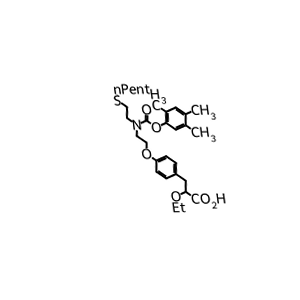 CCCCCSCCN(CCOc1ccc(CC(OCC)C(=O)O)cc1)C(=O)Oc1cc(C)c(C)cc1C